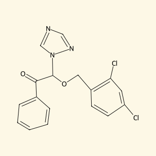 O=C(c1ccccc1)C(OCc1ccc(Cl)cc1Cl)n1cncn1